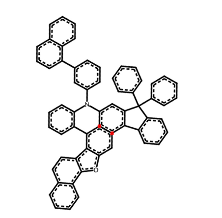 c1ccc(C2(c3ccccc3)c3ccccc3-c3ccc(N(c4cccc(-c5cccc6ccccc56)c4)c4ccccc4-c4cccc5oc6c7ccccc7ccc6c45)cc32)cc1